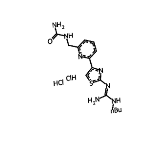 CCCCN/C(N)=N/c1nc(-c2cccc(CNC(N)=O)n2)cs1.Cl.Cl